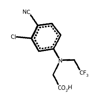 N#Cc1ccc(N(CC(=O)O)CC(F)(F)F)cc1Cl